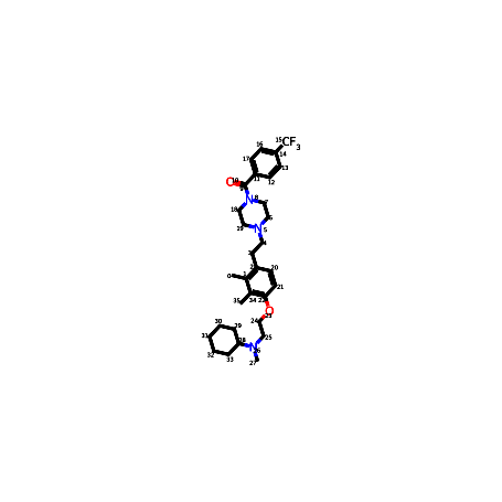 Cc1c(CCN2CCN(C(=O)c3ccc(C(F)(F)F)cc3)CC2)ccc(OCCN(C)C2CCCCC2)c1C